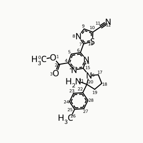 COC(=O)c1cc(-c2ncc(C#N)s2)nc(N2CCCC2(N)c2ccc(C)cc2)n1